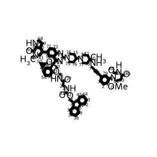 COc1ccc(C#CCNC2(C)CCN(C3CCN(c4nc([C@@](COCNC(=O)CNC(=O)OCC5c6ccccc6-c6ccccc65)(OC5CC5)c5ccccc5)c5cc(-c6cn(C)c(=O)c7[nH]ccc67)ccc5n4)CC3)CC2)cc1N1CCC(=O)NC1=O